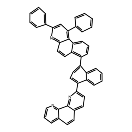 c1ccc(-c2cc(-c3ccccc3)c3c(ccc4c(-c5ccc(-c6ccc7ccc8cccnc8c7n6)c6ccccc56)cccc43)n2)cc1